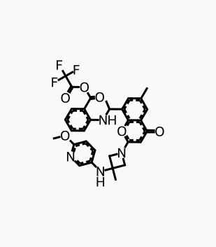 COc1ccc(NC2(C)CN(c3cc(=O)c4cc(C)cc(C(C)Nc5ccccc5C(=O)OC(=O)C(F)(F)F)c4o3)C2)cn1